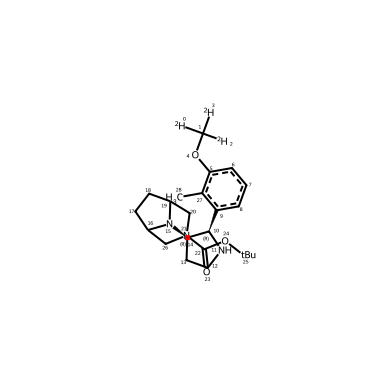 [2H]C([2H])([2H])Oc1cccc([C@H]2NCC[C@H]2N2C3CCC2CN(C(=O)OC(C)(C)C)C3)c1C